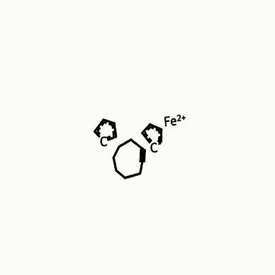 C1#CCCCCCC1.[Fe+2].c1cc[cH-]c1.c1cc[cH-]c1